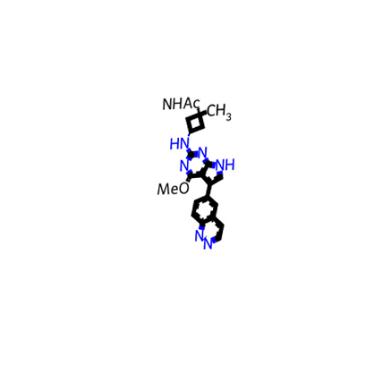 COc1nc(N[C@H]2C[C@](C)(NC(C)=O)C2)nc2[nH]cc(-c3ccc4nnccc4c3)c12